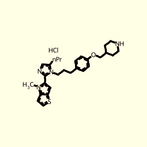 CCCc1cnc(-c2cc3sccc3n2C)n1CCCc1ccc(OCC2CCNCC2)cc1.Cl